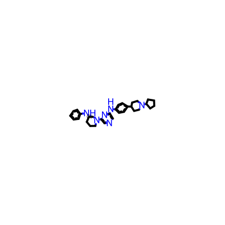 c1ccc(N[C@@H]2CCCN(c3cncc(Nc4ccc(C5CCN(C6CCCC6)CC5)cc4)n3)C2)cc1